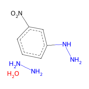 NN.NNc1cccc([N+](=O)[O-])c1.O